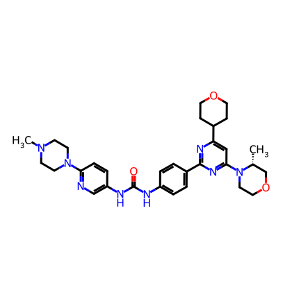 C[C@@H]1COCCN1c1cc(C2CCOCC2)nc(-c2ccc(NC(=O)Nc3ccc(N4CCN(C)CC4)nc3)cc2)n1